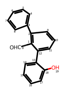 O=Cc1c(-c2ccccc2)cccc1-c1ccccc1O